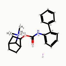 C[N+](C)(C)C1C2CCC1C(OC(=O)Nc1ccccc1-c1ccccc1)C2.[I-]